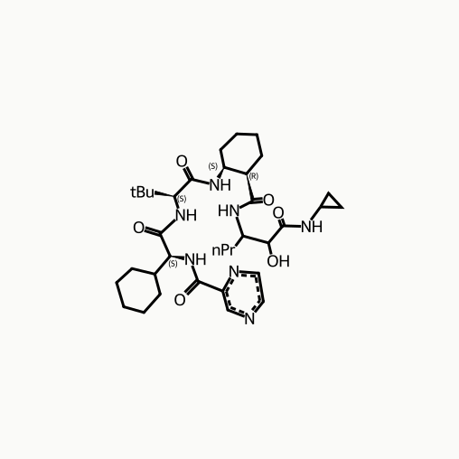 CCCC(NC(=O)[C@@H]1CCCC[C@@H]1NC(=O)[C@@H](NC(=O)[C@@H](NC(=O)c1cnccn1)C1CCCCC1)C(C)(C)C)C(O)C(=O)NC1CC1